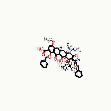 COc1cc(C(=O)O)c(OCc2ccccc2)c2c1C[C@H]1C[C@H]3[C@H](N(C)C)c4onc(OCc5ccccc5)c4C(=O)C3(O[Si](C)(C)C(C)(C)C)C(O)=C1C2=O